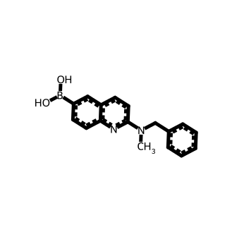 CN(Cc1ccccc1)c1ccc2cc(B(O)O)ccc2n1